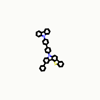 c1ccc(-c2ccc3c(c2)c2c4sc5ccccc5c4ccc2n3-c2ccc(-c3ccc(-n4c5ccccc5c5ccccc54)cc3)cc2)cc1